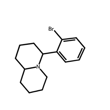 Brc1ccccc1C1CCCC2CCCCN21